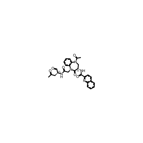 CC(=O)C[C@@H](C=O)NC(=O)CN1C(=O)[C@@H](NC(=O)c2ccc3ccccc3n2)CN(C(C)=O)c2ccccc21